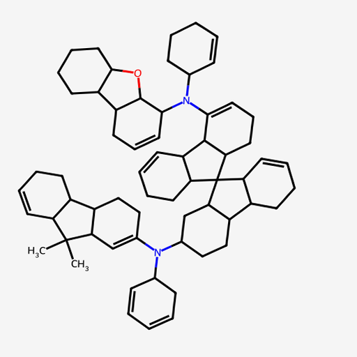 CC1(C)C2C=CCCC2C2CCC(N(C3C=CC=CC3)C3CCC4C5CCC=CC5C5(C6CCC=CC6C6C(N(C7C=CCCC7)C7C=CCC8C9CCCCC9OC87)=CCCC65)C4C3)=CC21